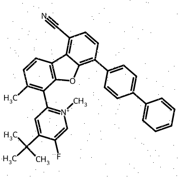 Cc1ccc2c(oc3c(-c4ccc(-c5ccccc5)cc4)ccc(C#N)c32)c1-c1cc(C(C)(C)C)c(F)c[n+]1C